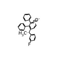 C[C@@H](c1cccc(F)c1)c1cc[p+]([O-])c(-c2ccccc2)c1-c1ccccc1